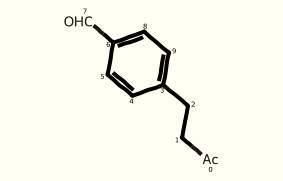 CC(=O)CCc1ccc(C=O)cc1